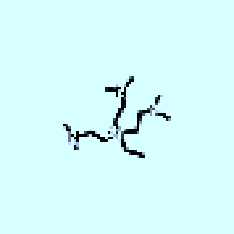 C[CH2][Sn]([CH2]CN(C)C)([CH2]CN(C)C)[CH2]CN(C)C